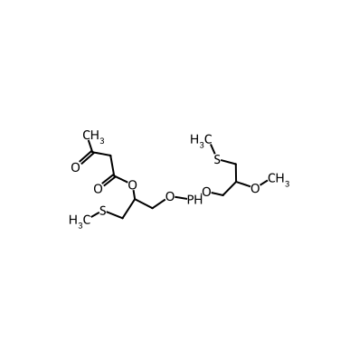 COC(COPOCC(CSC)OC(=O)CC(C)=O)CSC